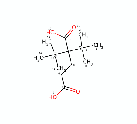 C[Si](C)(C)C(CCC(=O)O)(C(=O)O)[Si](C)(C)C